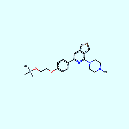 CCN1CCN(c2nc(-c3ccc(OCCO[Si](C)(C)C(C)(C)C)cc3)cc3cscc23)CC1